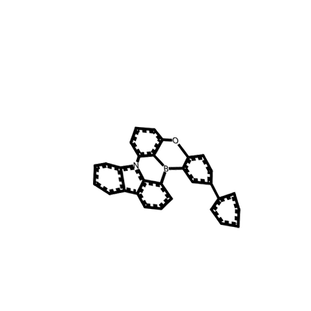 c1ccc(-c2ccc3c(c2)B2c4c(cccc4-n4c5ccccc5c5cccc2c54)O3)cc1